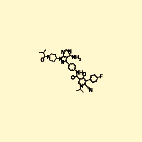 CC(C)C(=O)N1CCC(n2nc(-c3ccc(NC(=O)c4cn(C(C)C)c(C#N)c(-c5ccc(F)cc5)c4=O)cc3)c3c(N)ncnc32)CC1